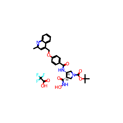 Cc1cc(COc2ccc(C(=O)N[C@@H]3CN(C(=O)OC(C)(C)C)C[C@@H]3C(=O)NO)cc2)c2ccccc2n1.O=C(O)C(F)(F)F